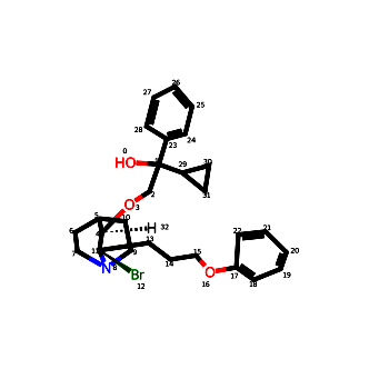 OC(CO[C@@H]1C2CCN(CC2)[C@@]1(Br)CCCOc1ccccc1)(c1ccccc1)C1CC1